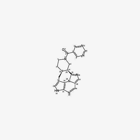 C[C@H]1CCN(C(=O)c2cncnc2)C[C@H]1c1ncc2cnc3[nH]ccc3n12